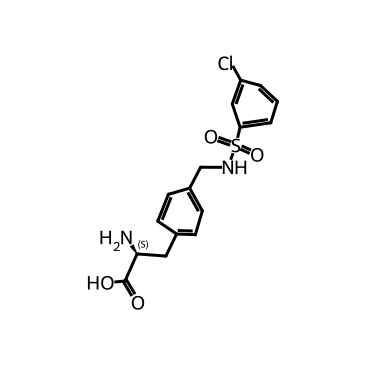 N[C@@H](Cc1ccc(CNS(=O)(=O)c2cccc(Cl)c2)cc1)C(=O)O